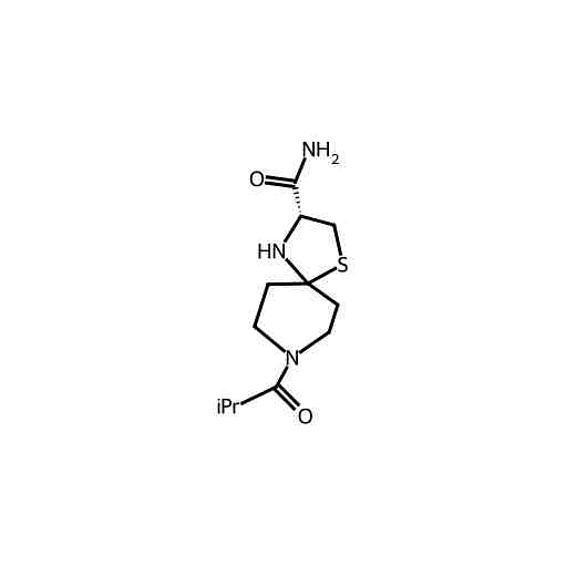 CC(C)C(=O)N1CCC2(CC1)N[C@H](C(N)=O)CS2